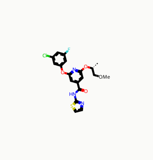 COC[C@@H](C)Oc1cc(C(=O)Nc2nccs2)cc(Oc2cc(F)cc(Cl)c2)n1